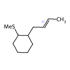 C/C=C/CC1CCCC[C]1SC